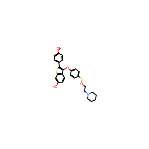 Oc1ccc(-c2sc3cc(O)ccc3c2Oc2ccc(SOCCN3CCCCC3)cc2)cc1